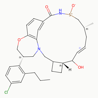 CCCc1cc(Cl)ccc1[C@@H]1COc2ccc3cc2N(CC2CC[C@H]2C(O)/C=C/C[C@@H](C)C[S+]([O-])NC3=O)C1